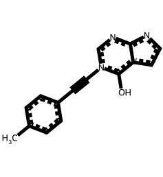 Cc1ccc(C#Cn2cnc3nccc-3c2O)cc1